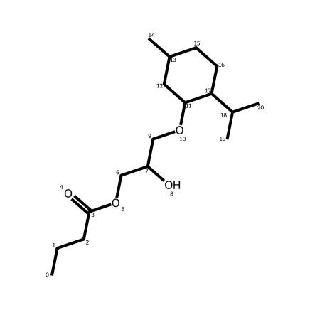 CCCC(=O)OCC(O)COC1CC(C)CCC1C(C)C